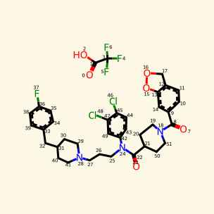 O=C(O)C(F)(F)F.O=C(c1ccc2c(c1)OOC2)N1CCC(C(=O)N(CCCN2CCC(Cc3ccc(F)cc3)CC2)c2ccc(Cl)c(Cl)c2)CC1